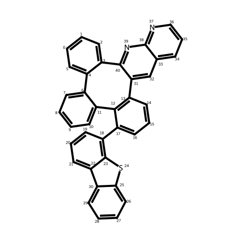 c1ccc2c(c1)-c1ccccc1-c1c(cccc1-c1cccc3c1sc1ccccc13)-c1cc3cccnc3nc1-2